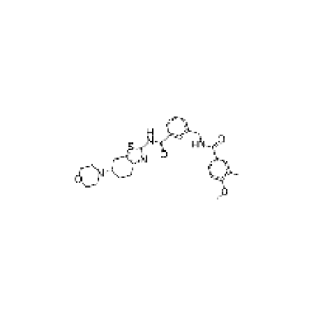 COc1ccc(C(=O)NCc2cccc(C(=O)Nc3nc4c(s3)C[C@@H](N3CCOCC3)CC4)c2)cc1C